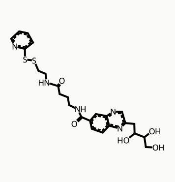 O=C(CCCNC(=O)c1ccc2nc(CC(O)C(O)CO)cnc2c1)NCCSSc1ccccn1